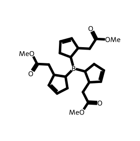 COC(=O)CC1C=CCC1B(C1CC=CC1CC(=O)OC)C1CC=CC1CC(=O)OC